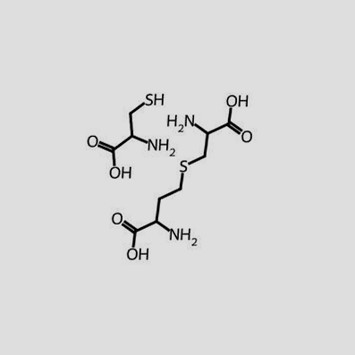 NC(CCSCC(N)C(=O)O)C(=O)O.NC(CS)C(=O)O